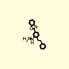 NNc1cc(-c2nc3ccccc3o2)ccc1CCc1ccccc1